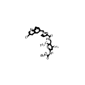 Cc1cc(NC(=O)OC(C)(C)C)nc(C)c1CNC(=O)c1ccn(Cc2ccc3ncc(Cl)cc3c2)n1